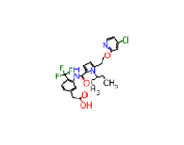 CC[C@H](C)n1c(CCOc2cc(Cl)ccn2)ccc1C(=O)Nc1cc(CC(=O)O)ccc1C(F)(F)F